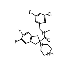 CN(Cc1cc(F)cc(Cl)c1)C(=O)C1(N2CCNCC2)Cc2cc(F)c(F)cc2C1